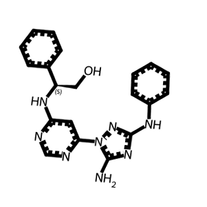 Nc1nc(Nc2ccccc2)nn1-c1cc(N[C@H](CO)c2ccccc2)ncn1